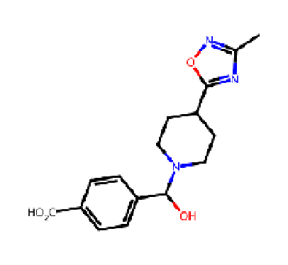 Cc1noc(C2CCN(C(O)c3ccc(C(=O)O)cc3)CC2)n1